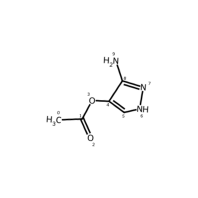 CC(=O)Oc1c[nH]nc1N